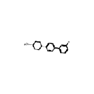 CCC[C@H]1CC[C@H](c2ccc(-c3cccc(F)c3)cc2)CC1